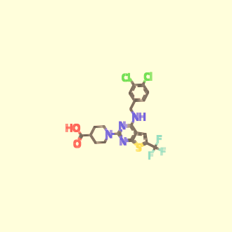 O=C(O)C1CCN(c2nc(NCc3ccc(Cl)c(Cl)c3)c3cc(C(F)(F)F)sc3n2)CC1